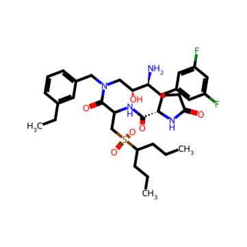 CCCC(CCC)S(=O)(=O)CC(NC(=O)[C@@H]1CCC(=O)N1)C(=O)N(Cc1cccc(CC)c1)C[C@@H](O)[C@@H](N)Cc1cc(F)cc(F)c1